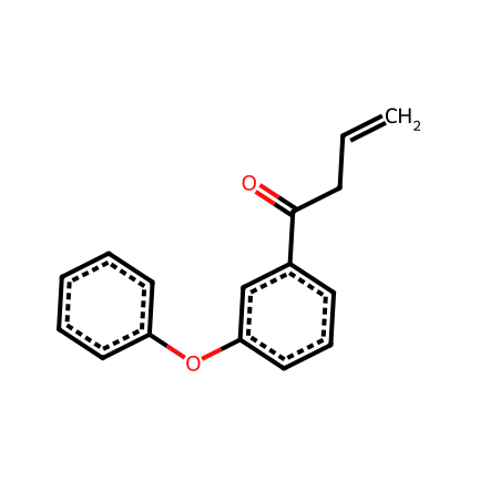 C=CCC(=O)c1cccc(Oc2ccccc2)c1